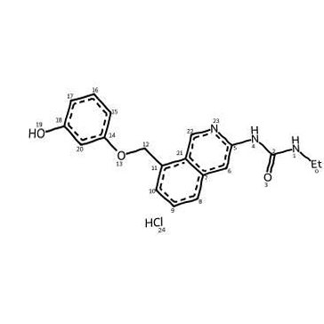 CCNC(=O)Nc1cc2cccc(COc3cccc(O)c3)c2cn1.Cl